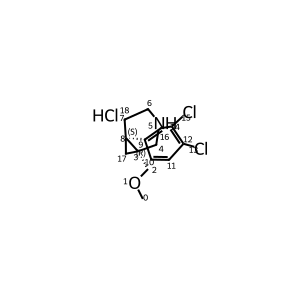 COC[C@@]12CNCC[C@]1(c1ccc(Cl)c(Cl)c1)C2.Cl